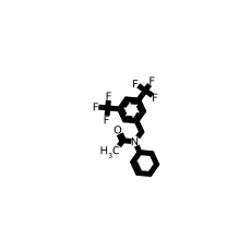 CC(=O)N(Cc1cc(C(F)(F)F)cc(C(F)(F)F)c1)C1C=CCCC1